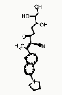 C/C(=C(/C#N)C(=O)CCC(O)C(O)CO)c1ccc2cc(N3CCCC3)ccc2c1